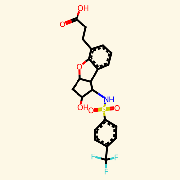 O=C(O)CCc1cccc2c1OC1CC(O)C(NS(=O)(=O)c3ccc(C(F)(F)F)cc3)C21